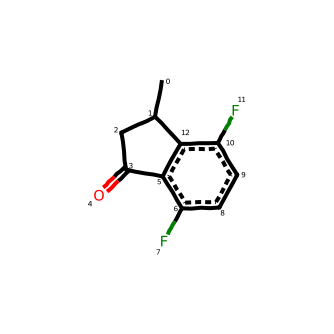 CC1CC(=O)c2c(F)ccc(F)c21